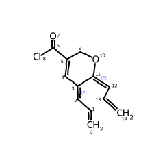 C=C/C=C1/C=C(C(=O)Cl)CO/C1=C/C=C